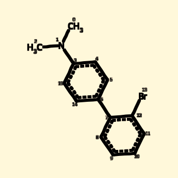 CN(C)c1ccc(-c2ccccc2Br)cc1